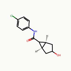 O=C(Nc1ccc(Cl)cc1)C1[C@H]2CC(O)C[C@@H]12